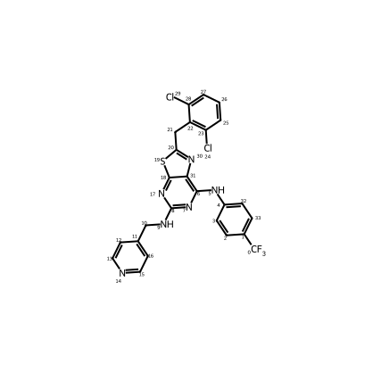 FC(F)(F)c1ccc(Nc2nc(NCc3ccncc3)nc3sc(Cc4c(Cl)cccc4Cl)nc23)cc1